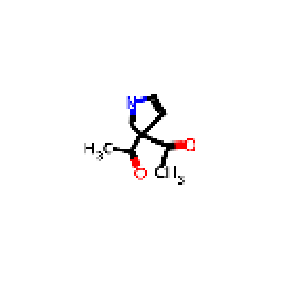 CC(=O)C1(C(C)=O)C=CN=C1